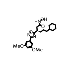 COc1cc(OC)cc(-c2noc([C@H](CCCC3CCCCC3)CC(=O)NO)n2)c1